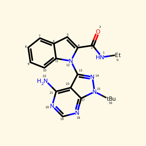 CCNC(=O)c1cc2ccccc2n1-c1nn(C(C)(C)C)c2ncnc(N)c12